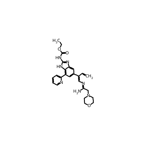 C=C/C(=C\N=C(/N)CN1CCOCC1)c1cc(-c2ccccn2)c2[nH]c(NC(=O)OCC)nc2c1